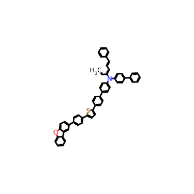 C=C/C(=C\C=C\c1ccccc1)N(c1ccc(-c2ccccc2)cc1)c1ccc(-c2ccc(-c3ccc(-c4ccc(-c5ccc6oc7ccccc7c6c5)cc4)s3)cc2)cc1